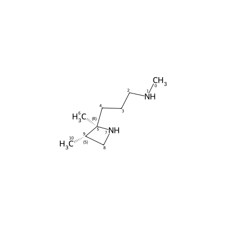 CNCCC[C@@]1(C)NC[C@@H]1C